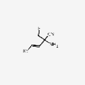 CCC=CC(N)(C#N)CF